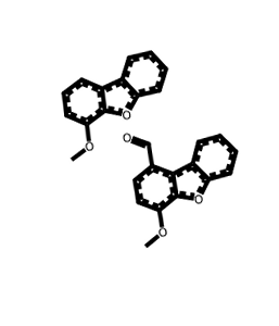 COc1ccc(C=O)c2c1oc1ccccc12.COc1cccc2c1oc1ccccc12